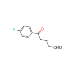 O=CC[CH]CC(=O)c1ccc(F)cc1